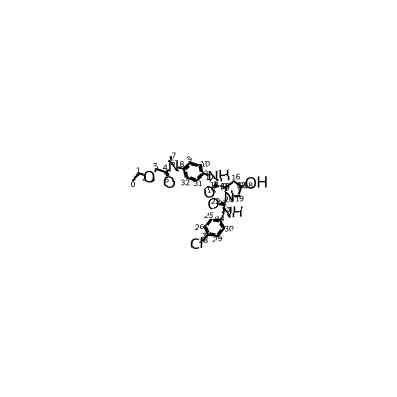 CCOCC(=O)N(C)c1ccc(NC(=O)[C@H]2C[C@@H](O)CN2C(=O)Nc2ccc(Cl)cc2)cc1